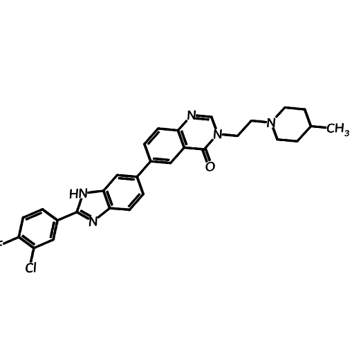 CC1CCN(CCn2cnc3ccc(-c4ccc5nc(-c6ccc(F)c(Cl)c6)[nH]c5c4)cc3c2=O)CC1